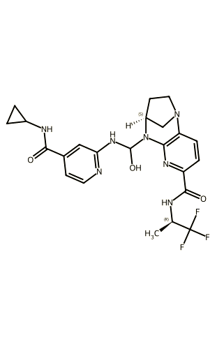 C[C@@H](NC(=O)c1ccc2c(n1)N(C(O)Nc1cc(C(=O)NC3CC3)ccn1)[C@H]1CCN2C1)C(F)(F)F